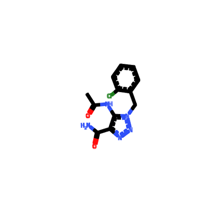 CC(=O)Nc1c(C(N)=O)nnn1Cc1ccccc1Cl